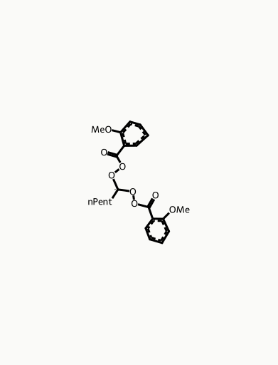 [CH2]CCCC[C](OOC(=O)c1ccccc1OC)OOC(=O)c1ccccc1OC